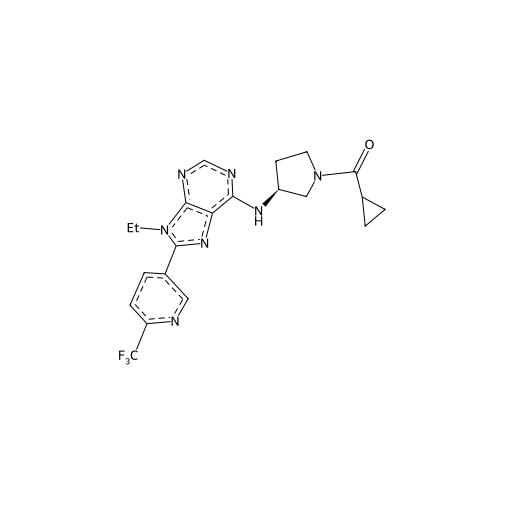 CCn1c(-c2ccc(C(F)(F)F)nc2)nc2c(N[C@H]3CCN(C(=O)C4CC4)C3)ncnc21